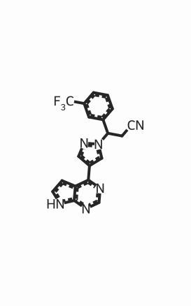 N#CCC(c1cccc(C(F)(F)F)c1)n1cc(-c2ncnc3[nH]ccc23)cn1